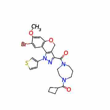 COc1cc2c(cc1Br)-c1c(c(C(=O)N3CCCN(C(=O)C4CCC4)CC3)nn1-c1ccsc1)CO2